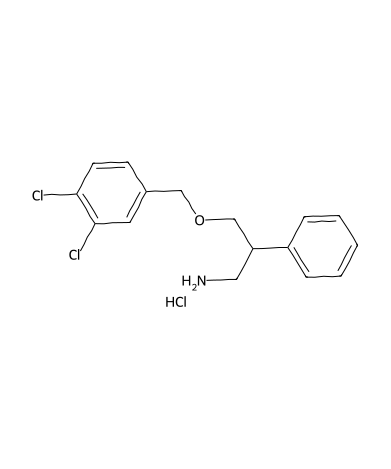 Cl.NCC(COCc1ccc(Cl)c(Cl)c1)c1ccccc1